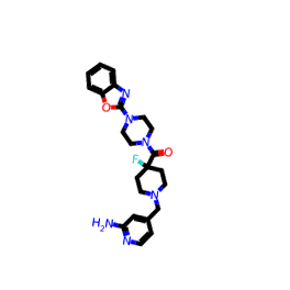 Nc1cc(CN2CCC(F)(C(=O)N3CCN(c4nc5ccccc5o4)CC3)CC2)ccn1